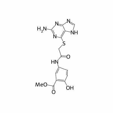 COC(=O)c1cc(NC(=O)CSc2nc(N)nc3nc[nH]c23)ccc1O